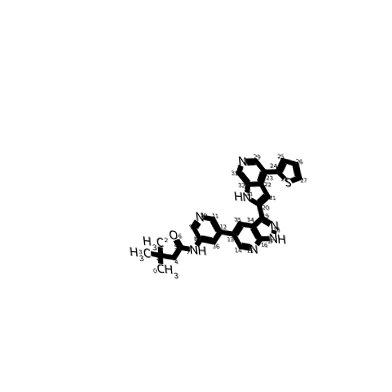 CC(C)(C)CC(=O)Nc1cncc(-c2cnc3[nH]nc(-c4cc5c(-c6cccs6)cncc5[nH]4)c3c2)c1